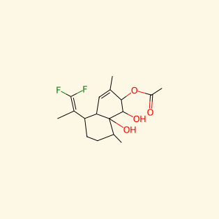 CC(=O)OC1C(C)=CC2C(C(C)=C(F)F)CCC(C)C2(O)C1O